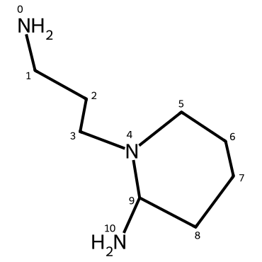 NCCCN1CCCCC1N